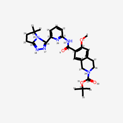 COc1cc2c(cc1C(=O)Nc1cccc(-c3nnc4n3C(C)(C)CC4)n1)CN(C(=O)OC(C)(C)C)CC2